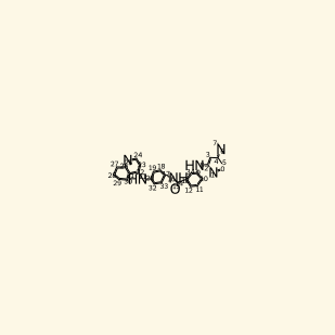 C=N/C(=C\C(C)=N/C)Nc1cccc(C(=O)Nc2ccc(Nc3ccnc4ccccc34)cc2)c1